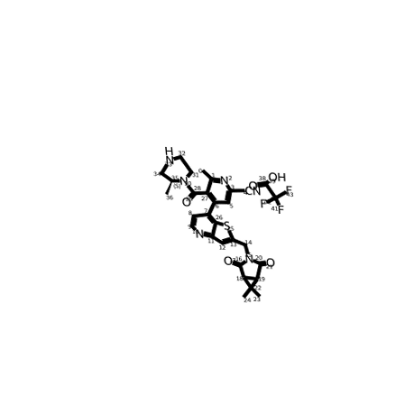 Cc1nc(C#N)cc(-c2ccnc3cc(CN4C(=O)C5C(C4=O)C5(C)C)sc23)c1C(=O)N1CCNC[C@@H]1C.O=C(O)C(F)(F)F